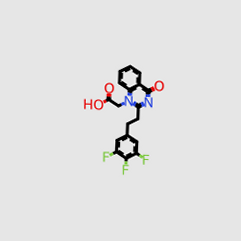 O=C(O)Cn1c(CCc2cc(F)c(F)c(F)c2)nc(=O)c2ccccc21